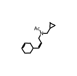 CC(=O)N(C/C=C\C1CC=CCC1)CC1CC1